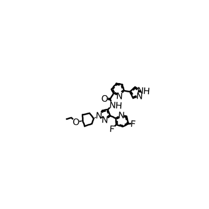 CCO[C@H]1CC[C@H](n2cc(NC(=O)c3cccc(-c4cn[nH]c4)n3)c(-c3ncc(F)cc3F)n2)CC1